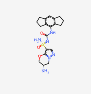 N[C@@H]1COc2c([S@@](N)(=O)=NC(=O)Nc3c4c(cc5c3CCC5)CCC4)cnn2C1